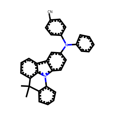 CC1(C)c2ccccc2-n2c3ccc(N(c4ccccc4)c4ccc(C#N)cc4)cc3c3cccc1c32